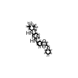 CN1C(C)(C)CC(Nc2nc(Nc3ccc4c(c3)OCC(CN3CCCCC3)O4)ncc2F)CC1(C)C